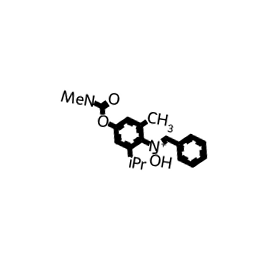 CNC(=O)Oc1cc(C)c(/[N+](O)=C/c2ccccc2)c(C(C)C)c1